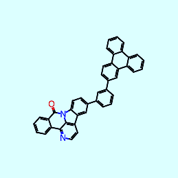 O=c1c2ccccc2c2nccc3c4cc(-c5cccc(-c6ccc7c8ccccc8c8ccccc8c7c6)c5)ccc4n1c32